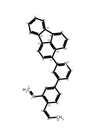 C=Nc1cc(-c2ccnc(-c3ccc4c5c(cccc35)-c3ccccc3-4)c2)ccc1/C=C\C